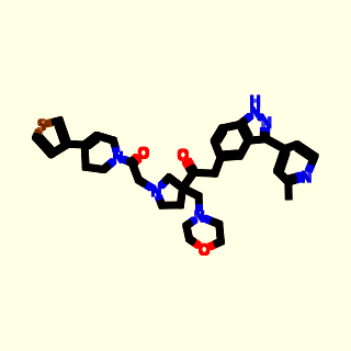 Cc1cc(-c2n[nH]c3ccc(CC(=O)C4(CN5CCOCC5)CCN(CC(=O)N5CC=C(c6ccsc6)CC5)C4)cc23)ccn1